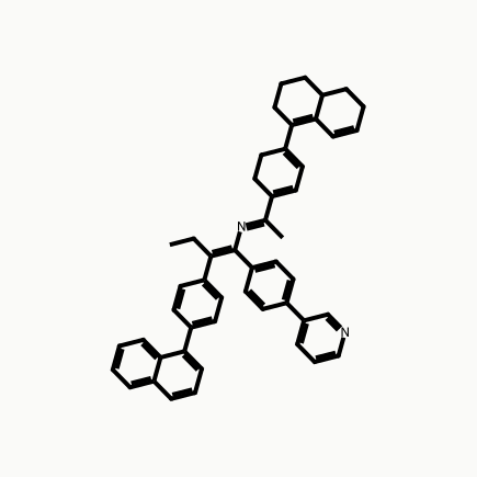 CC/C(=C(\N=C(/C)C1=CC=C(C2=C3C=CCCC3CCC2)CC1)c1ccc(-c2cccnc2)cc1)c1ccc(-c2cccc3ccccc23)cc1